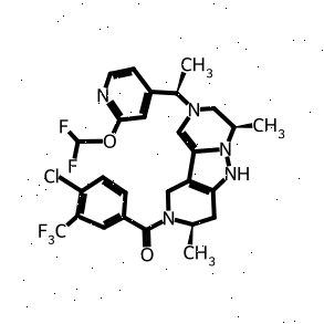 C[C@H](c1ccnc(OC(F)F)c1)N1C=C2C3=C(C[C@@H](C)N(C(=O)c4ccc(Cl)c(C(F)(F)F)c4)C3)NN2[C@H](C)C1